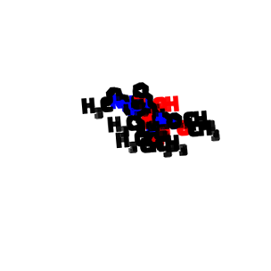 CCC(C)C(C(=O)NC(Cc1ccccc1)C(O)CN(Cc1ccc(OC(C)C)cc1)NC(=O)N(CC(C)(C)C)C(=O)OC)N1CCN(Cc2cccc(C)n2)C1=O